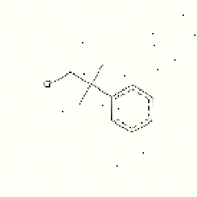 CC(C)(CCl)c1ccccc1